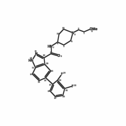 COCCN1CCC(NC(=O)c2n[nH]c3ccc(-c4cccc(F)c4F)cc23)CC1